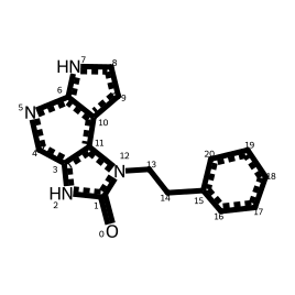 O=c1[nH]c2cnc3[nH]ccc3c2n1CCc1ccccc1